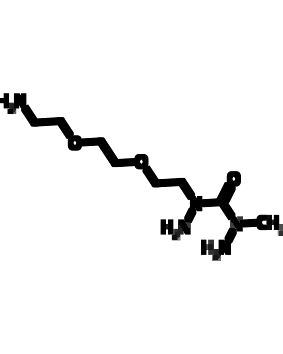 CN(N)C(=O)N(N)CCOCCOCCN